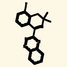 CC1(C)Cc2c(F)cccc2C(c2nnc3ccccc3n2)=N1